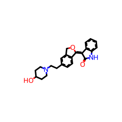 O=C1Nc2ccccc2C1=C1OCc2cc(CCN3CCC(O)CC3)ccc21